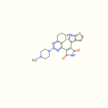 CN1CCN(c2nc3c(c(C4=C(c5c[nH]c6sccc56)C(=O)NC4=O)n2)CCCC3)CC1